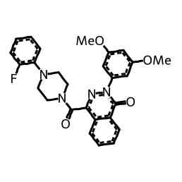 COc1cc(OC)cc(-n2nc(C(=O)N3CCN(c4ccccc4F)CC3)c3ccccc3c2=O)c1